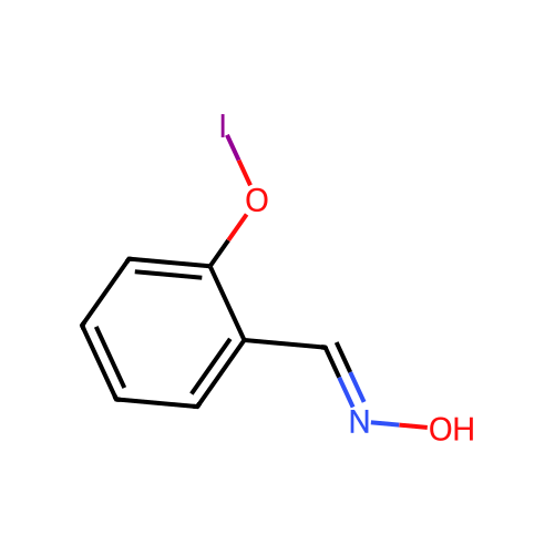 ON=Cc1ccccc1OI